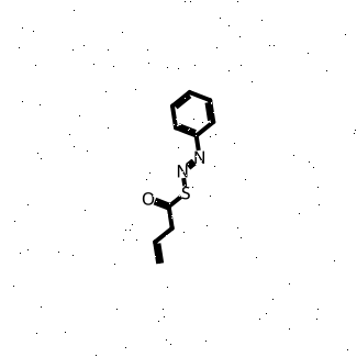 C=CCC(=O)S/N=N/c1ccccc1